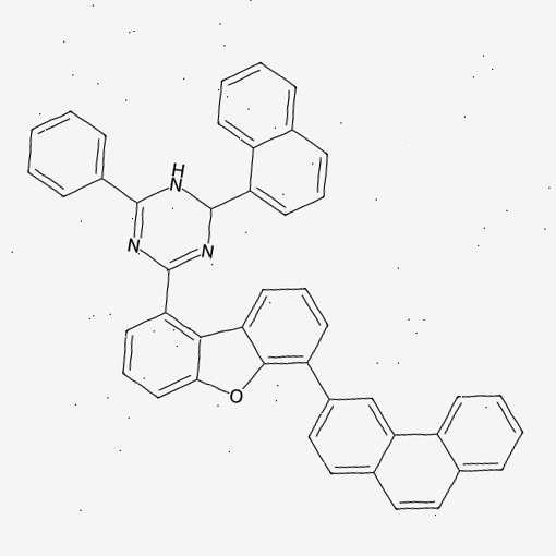 c1ccc(C2=NC(c3cccc4oc5c(-c6ccc7ccc8ccccc8c7c6)cccc5c34)=NC(c3cccc4ccccc34)N2)cc1